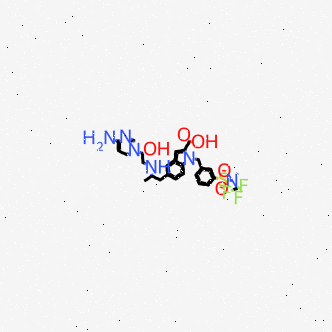 CC(Cc1ccc2c(c1)cc(C(=O)O)n2Cc1cccc(S(=O)(=O)N(C)C(F)(F)F)c1)NCC(O)N1C=NC(N)=CC1